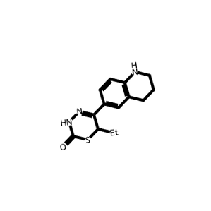 CCC1SC(=O)NN=C1c1ccc2c(c1)CCCN2